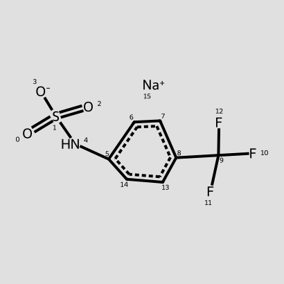 O=S(=O)([O-])Nc1ccc(C(F)(F)F)cc1.[Na+]